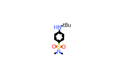 CN(C)S(=O)(=O)c1ccc(NC(C)(C)C)cc1